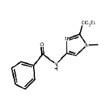 CCOC(=O)c1nc(NC(=O)c2ccccc2)cn1C